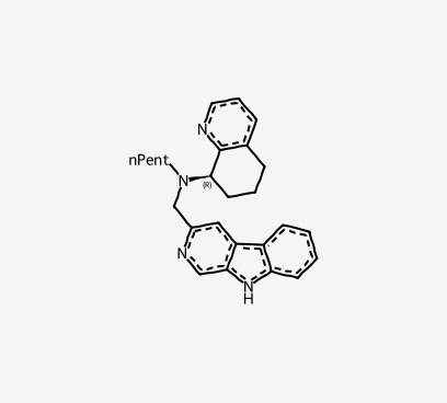 CCCCCN(Cc1cc2c(cn1)[nH]c1ccccc12)[C@@H]1CCCc2cccnc21